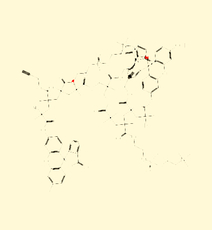 C#CCOC(=O)C(C)(CC(C)(Br)C(=O)Oc1ccc2c(c1)Oc1cc(C)ccc1C21OC(=O)c2ccccc21)CC(C)(CC(C)(C)C(=O)OCC(C)(COC(=O)C(C)(C)CC(C)(CC(C)(CC(C)(Br)C(=O)Oc1ccc2c(c1)Oc1cc(O)ccc1C21OC(=O)c2ccccc21)C(=O)OCC#C)C(=O)OCCOP(=O)([O-])OCC[N+](C)(C)C)C(=O)OCCN1C(=O)C=CC1=O)C(=O)OCCOP(=O)([O-])OCC[N+](C)(C)C